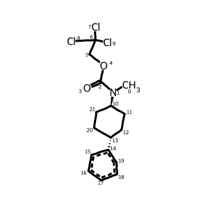 CN(C(=O)OCC(Cl)(Cl)Cl)[C@H]1CC[C@H](c2ccccc2)CC1